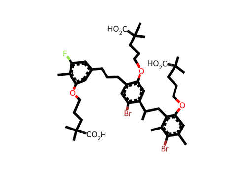 Cc1cc(OCCCC(C)(C)C(=O)O)c(CC(C)c2cc(OCCCC(C)(C)C(=O)O)c(CCCc3cc(F)c(C)c(OCCCC(C)(C)C(=O)O)c3)cc2Br)c(C)c1Br